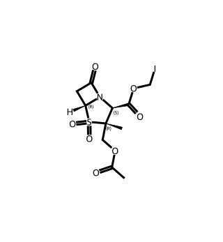 CC(=O)OC[C@@]1(C)[C@H](C(=O)OCI)N2C(=O)C[C@H]2S1(=O)=O